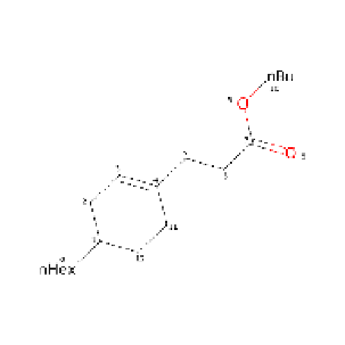 CCCCCCC1CC=C(CCC(=O)OCCCC)CC1